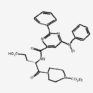 CCOC(=O)N1CCN(C(=O)[C@H](CCC(=O)O)NC(=O)c2cc(N(CC)c3ccccc3)nc(-c3ccccc3)n2)CC1